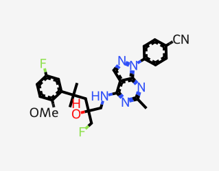 COc1ccc(F)cc1C(C)(C)CC(O)(CF)CNc1nc(C)nc2c1cnn2-c1ccc(C#N)cc1